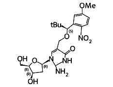 COc1ccc([N+](=O)[O-])c([C@@H](OCC2=CN([C@H]3C[C@@H](O)[C@@H](CO)O3)C(N)NC2=O)C(C)(C)C)c1